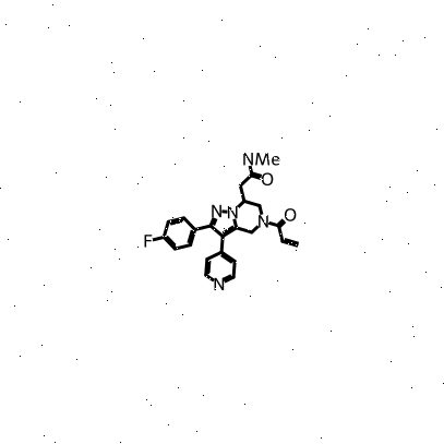 C=CC(=O)N1Cc2c(-c3ccncc3)c(-c3ccc(F)cc3)nn2C(CC(=O)NC)C1